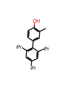 Cc1cc(-c2c(C(C)C)cc(C(C)C)cc2C(C)C)ccc1O